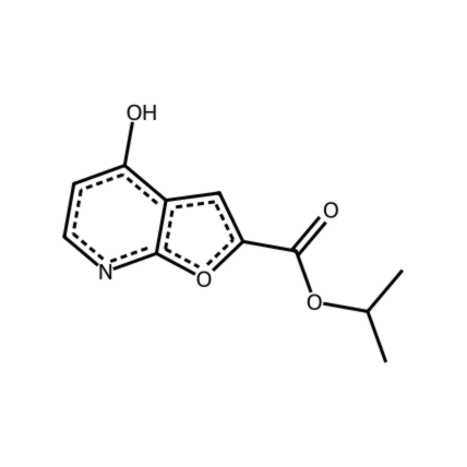 CC(C)OC(=O)c1cc2c(O)ccnc2o1